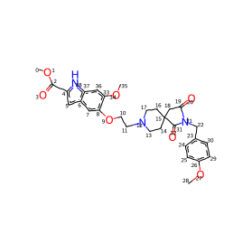 COC(=O)c1cc2cc(OCCN3CCC4(CC3)CC(=O)N(Cc3ccc(OC)cc3)C4=O)c(OC)cc2[nH]1